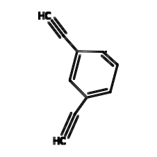 C#Cc1[c]ccc(C#C)c1